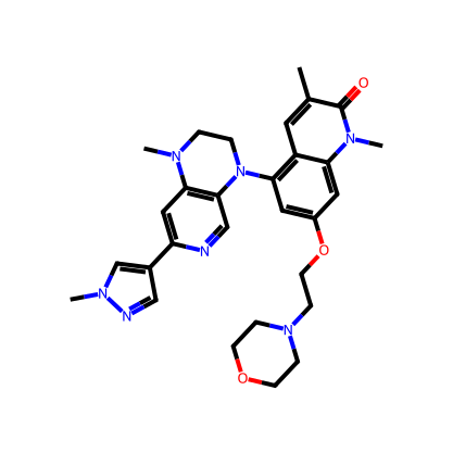 Cc1cc2c(N3CCN(C)c4cc(-c5cnn(C)c5)ncc43)cc(OCCN3CCOCC3)cc2n(C)c1=O